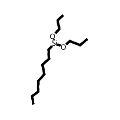 CCCCCCCC[Si](OCCC)OCCC